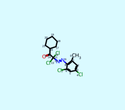 Cc1cc(Cl)cc(Cl)c1N=NC(Cl)(Cl)C(=O)C1CCCCC1